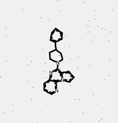 c1ccc(C2CCN(c3nc4cccnc4n4cccc34)CC2)cc1